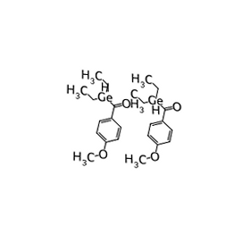 C[CH2][GeH]([CH2]C)[C](=O)c1ccc(OC)cc1.C[CH2][GeH]([CH2]C)[C](=O)c1ccc(OC)cc1